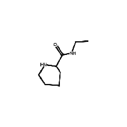 CCNC(=O)C1CCCCN1